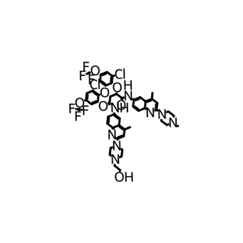 Cc1cc(N2CCN(C)CC2)nc2ccc(NC(=O)C(Oc3ccc(OC(F)(F)F)cc3Cl)C(Oc3ccc(OC(F)(F)F)cc3Cl)C(=O)Nc3ccc4nc(N5CCN(CCO)CC5)cc(C)c4c3)cc12